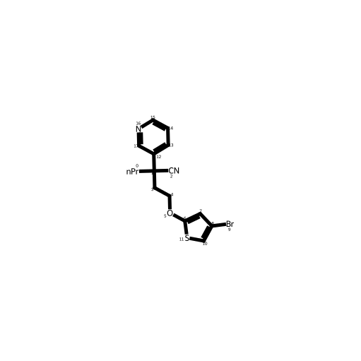 CCCC(C#N)(CCOc1cc(Br)cs1)c1cccnc1